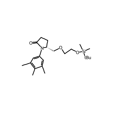 Cc1cc(N2C(=O)CC[C@@H]2COCCO[Si](C)(C)C(C)(C)C)cc(C)c1C